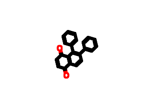 O=C1C=CC(=O)c2c1ccc(-c1ccccc1)c2-c1ccccc1